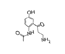 CC(=O)Nc1ccc(O)cc1C(=O)CCN